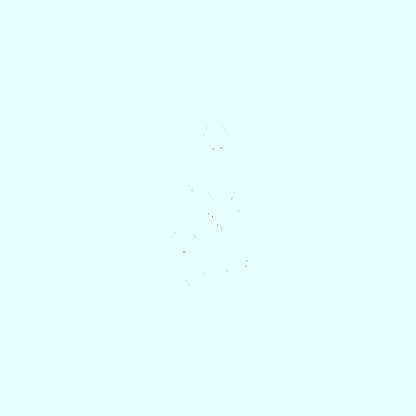 O=C1c2c(OCc3ccccc3)c(=O)ccn2N(C2c3ccc(F)cc3-c3ccsc3-c3ccccc32)[C@@H]2COCCN12